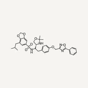 CC(C)Cc1cc(S(=O)(=O)NC(Cc2ccc(OCc3noc(-c4ccccc4)n3)cc2)[C@H]2COC(C)(C)N2)cc2c1OCO2